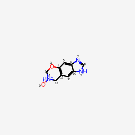 [O-][NH+]1COc2cc3nc[nH]c3cc2C1